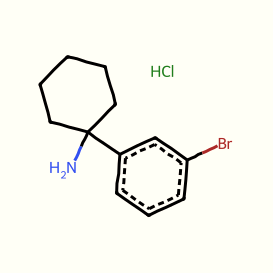 Cl.NC1(c2cccc(Br)c2)CCCCC1